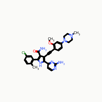 COc1cc(N2CCN(C)CC2)ccc1C#Cc1c(-c2ccnc(N)n2)[nH]c(-c2cc(Cl)ccc2C)c1C(N)=O